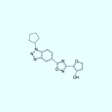 Oc1ccoc1-c1noc(-c2ccc3c(c2)nnn3C2CCCC2)n1